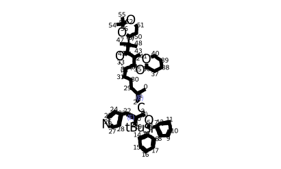 C/C(=C\C[C@H](O[Si](c1ccccc1)(c1ccccc1)C(C)(C)C)/C(C)=C/c1ccncc1)CCC[C@H](C)[C@H](OC1CCCCO1)C(C)C(=O)C(C)(C)[C@@H]1CCOC(C)(C)O1